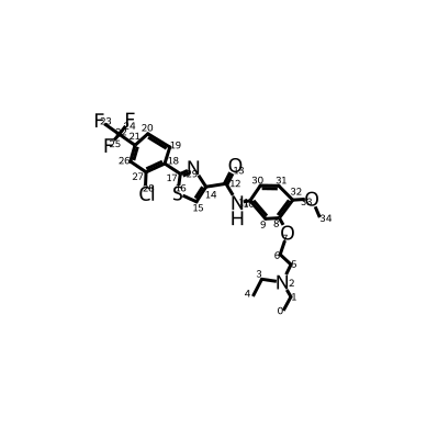 CCN(CC)CCOc1cc(NC(=O)c2csc(-c3ccc(C(F)(F)F)cc3Cl)n2)ccc1OC